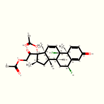 CCC(=O)OCC(=O)[C@]1(OC(=O)CC)[C@H](C)C[C@H]2[C@@H]3C[C@H](F)C4=CC(=O)C=C[C@]4(C)[C@@]3(F)C=C[C@@]21C